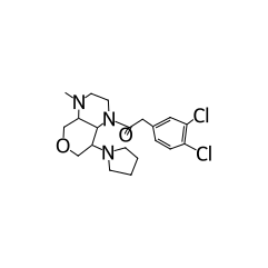 CN1CCN(C(=O)Cc2ccc(Cl)c(Cl)c2)C2C1COCC2N1CCCC1